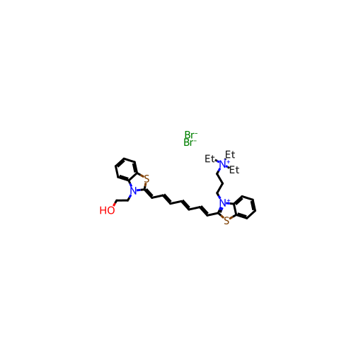 CC[N+](CC)(CC)CCC[n+]1c(C=CC=CC=CC=C2Sc3ccccc3N2CCO)sc2ccccc21.[Br-].[Br-]